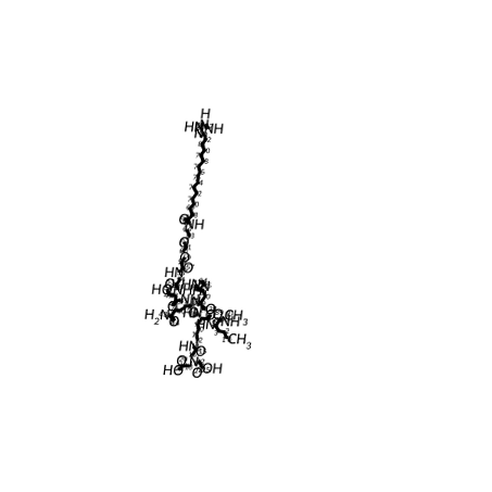 CCCCC(NC(=O)C(CCCCNC(=O)CN(CC(=O)O)CC(=O)O)NC(=O)C(Cc1c[nH]cn1)NC(=O)C(CCC(N)=O)NC(=O)C(CO)NC(=O)CNC(=O)COCCOCCNC(=O)CCCCCCCCCCCCCCCC1=NNNN1)C(=O)NC